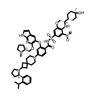 CC(C)c1ccccc1[C@H]1CCCN1C1CC2(CCN(c3ccc(C(=O)NS(=O)(=O)c4cc5c(c([N+](=O)[O-])c4)N[C@@H]([C@H]4CC[C@](C)(O)CC4)CO5)c(Oc4cc5cc[nH]c5nc4OC[C@@H]4CCCN4C)c3)CC2)C1